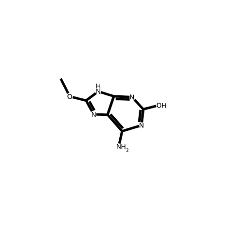 COc1nc2c(N)nc(O)nc2[nH]1